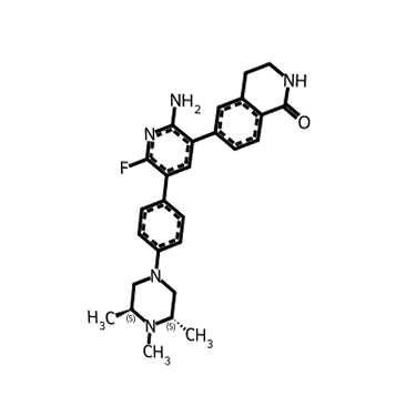 C[C@H]1CN(c2ccc(-c3cc(-c4ccc5c(c4)CCNC5=O)c(N)nc3F)cc2)C[C@H](C)N1C